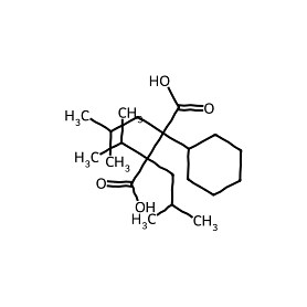 CC(C)CC(C(=O)O)(C(C)C)C(CC(C)C)(C(=O)O)C1CCCCC1